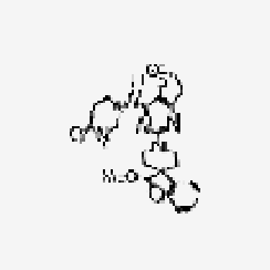 COC(=O)C1(c2ccccc2)CCN(c2nc3c(c(N[C@H]4CCC(=O)N(C)C4)n2)[S+]([O-])CC3)CC1